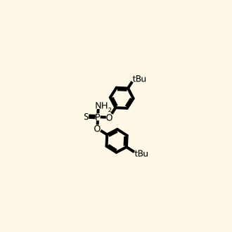 CC(C)(C)c1ccc(OP(N)(=S)Oc2ccc(C(C)(C)C)cc2)cc1